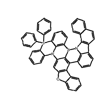 c1ccc(S2(c3ccccc3)c3ccccc3N3c4cc5oc6ccccc6c5c5c4B(c4cccc2c43)n2c3c-5cccc3c3ccc4ccccc4c32)cc1